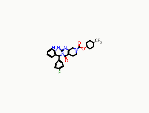 Nc1nc2c(c(=O)n1C(c1ccccc1)c1ccc(F)cc1)CCN(C(=O)O[C@H]1CC[C@@H](C(F)(F)F)CC1)C2